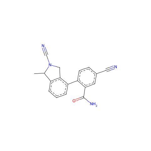 CC1c2cccc(-c3ccc(C#N)cc3C(N)=O)c2CN1C#N